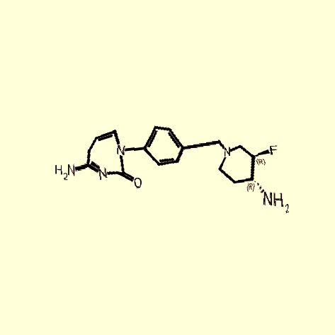 Nc1ccn(-c2ccc(CN3CC[C@@H](N)[C@H](F)C3)cc2)c(=O)n1